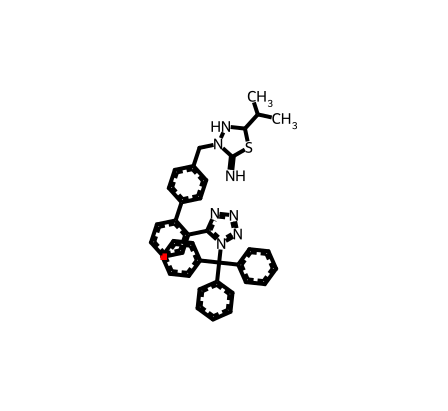 CC(C)C1NN(Cc2ccc(-c3ccccc3-c3nnnn3C(c3ccccc3)(c3ccccc3)c3ccccc3)cc2)C(=N)S1